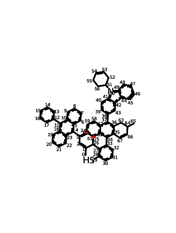 CC1=CC(c2c3ccccc3c(-c3ccccc3)c3ccccc23)=CCC1c1c(S)cccc1-c1c2c(c(-c3ccc4c(c3)c3c#cccc3n4C3CC=CCC3)c3ccccc13)CC(C)C=C2